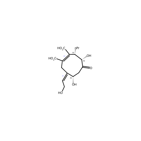 CCC[C@H]1/C(C(=O)O)=C(/C(=O)O)C/C(=C/CO)[C@@H](O)CC(=O)[C@H]1O